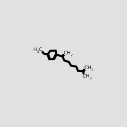 C=C(C)CCCCCC(=C)C1=CC=C(CC)CC1